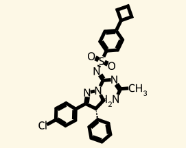 C/C(N)=N/C(=N\S(=O)(=O)c1ccc(C2CCC2)cc1)N1C[C@H](c2ccccc2)C(c2ccc(Cl)cc2)=N1